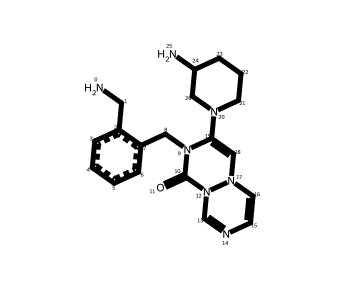 NCc1ccccc1CN1C(=O)N2C=NC=CN2C=C1N1CCCC(N)C1